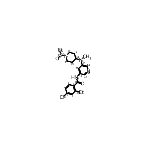 CCc1cc(Cl)ccc1C(=O)Nc1cncc(N(C)C2CCN([S+]([O-])CC)CC2)c1